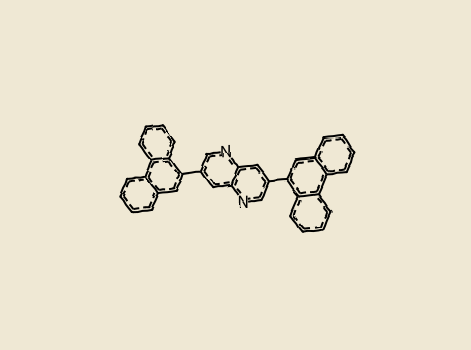 c1ccc2c(c1)cc(-c1cnc3cc(-c4cc5ccccc5c5ccccc45)cnc3c1)c1ccccc12